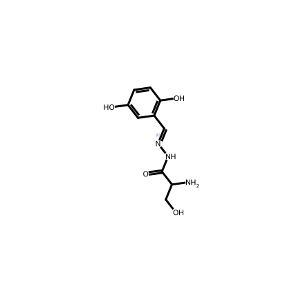 NC(CO)C(=O)N/N=C/c1cc(O)ccc1O